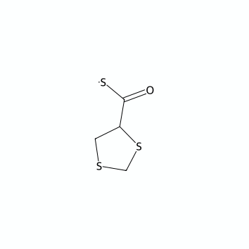 O=C([S])C1CSCS1